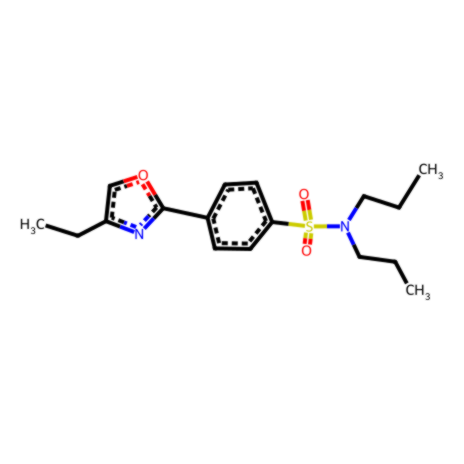 CCCN(CCC)S(=O)(=O)c1ccc(-c2nc(CC)co2)cc1